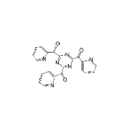 O=C(c1ccccn1)c1nc(C(=O)c2ccccn2)nc(C(=O)c2ccccn2)n1